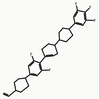 C=CC1CCC(c2cc(F)c(C3=CCC(C4CCC(c5cc(F)c(F)c(F)c5)CC4)CC3)c(F)c2)CC1